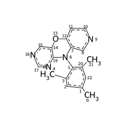 Cc1cc(C)c(N2c3cnccc3Oc3cncnc32)c(C)c1